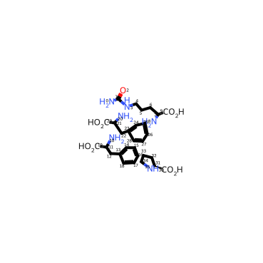 NC(=O)NCCCC(N)C(=O)O.NC(Cc1ccccc1)C(=O)O.NC(Cc1ccccc1)C(=O)O.O=C(O)[C@@H]1CCCN1